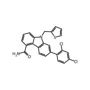 NC(=O)c1cccc2c1c1[c]cc(-c3ccc(Cl)cc3Cl)cc1n2Cc1cccs1